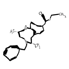 CCOC(=O)c1ccc2c(c1)O[C@@H](C)CN(Cc1ccccc1)[C@H]2C